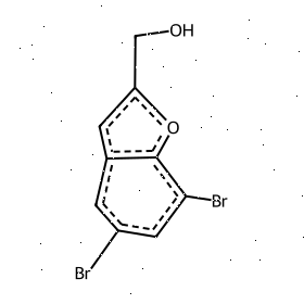 OCc1cc2cc(Br)cc(Br)c2o1